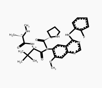 CN[C@@H](C)C(=O)N[C@H](C(=O)N(C(=O)[C@@H]1CCCN1)c1cc2c(Nc3ccccc3F)ncnc2cc1OC)C(C)(C)C